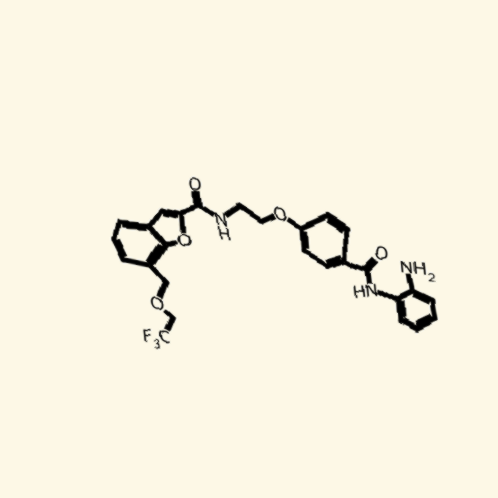 Nc1ccccc1NC(=O)c1ccc(OCCNC(=O)c2cc3cccc(COCC(F)(F)F)c3o2)cc1